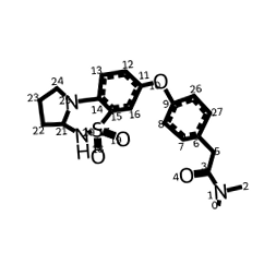 CN(C)C(=O)Cc1ccc(Oc2ccc3c(c2)S(=O)(=O)NC2CCCN32)cc1